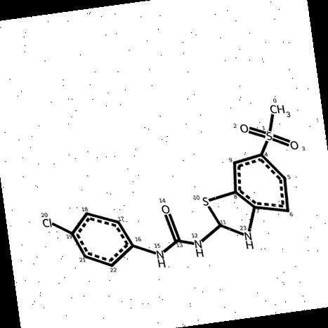 CS(=O)(=O)c1ccc2c(c1)SC(NC(=O)Nc1ccc(Cl)cc1)N2